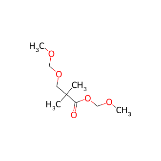 COCOCC(C)(C)C(=O)OCOC